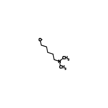 CN(C)CCCCC[O]